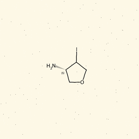 N[C@H]1COCC1I